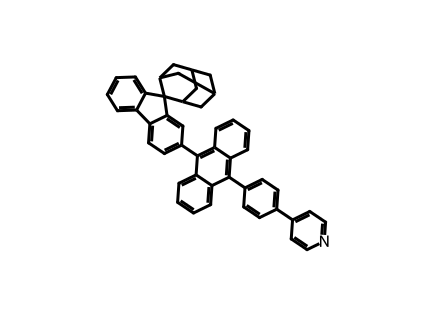 c1ccc2c(c1)-c1ccc(-c3c4ccccc4c(-c4ccc(-c5ccncc5)cc4)c4ccccc34)cc1C21C2CC3CC(C2)CC1C3